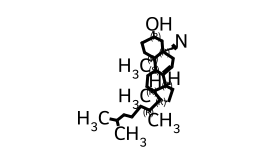 CC(C)CCC[C@@H](C)[C@H]1CC[C@H]2C3=CC[C@@]4(C#N)C[C@H](O)CC[C@]4(C)[C@H]3CC[C@]12C